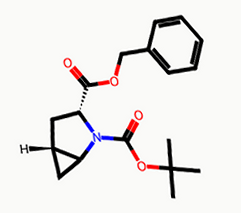 CC(C)(C)OC(=O)N1C2C[C@@H]2C[C@@H]1C(=O)OCc1ccccc1